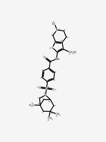 CCOC(=O)c1c(NC(=O)c2ccc(S(=O)(=O)N3CC4(C)CC3CC(C)(C)C4)cc2)sc2c1CCN(CC)C2